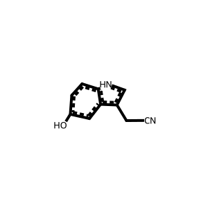 N#CCc1c[nH]c2ccc(O)cc12